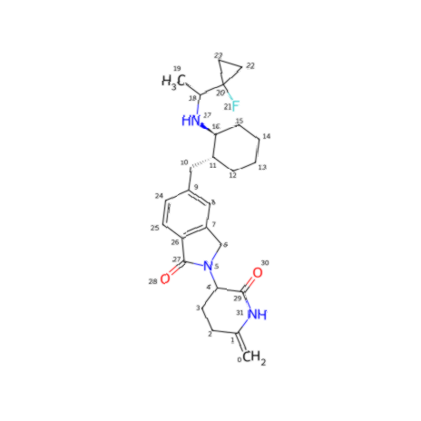 C=C1CCC(N2Cc3cc(C[C@H]4CCCC[C@@H]4NC(C)C4(F)CC4)ccc3C2=O)C(=O)N1